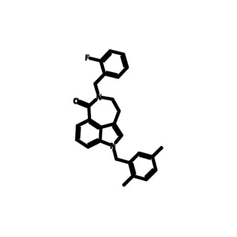 Cc1ccc(C)c(Cn2cc3c4c(cccc42)C(=O)N(Cc2ccccc2F)CC3)c1